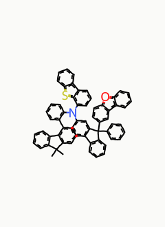 CC1(C)c2ccccc2-c2c(-c3ccccc3N(c3ccc4c(c3)C(c3ccccc3)(c3ccc5oc6ccccc6c5c3)c3ccccc3-4)c3cccc4c3sc3ccccc34)cccc21